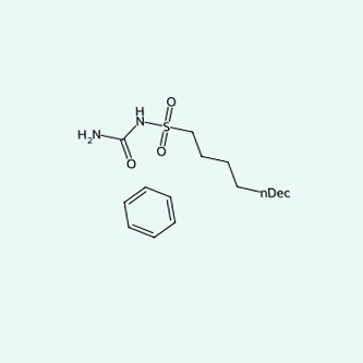 CCCCCCCCCCCCCCS(=O)(=O)NC(N)=O.c1ccccc1